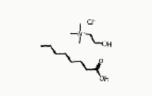 CCCCCCCC(=O)O.C[N+](C)(C)CCO.[Cl-]